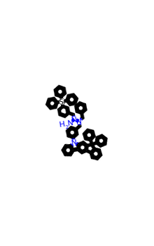 NN(CC1=CC([Si](c2ccccc2)(c2ccccc2)c2ccccc2)CC=C1)N(Cc1ccccc1)Cc1cccc(-n2c3ccccc3c3cc4c(cc32)C(c2ccccc2)(c2ccccc2)c2ccccc2-4)c1